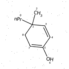 CCCC1(C)C=CC(O)=CC1